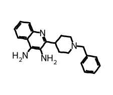 Nc1c(C2CCN(Cc3ccccc3)CC2)nc2ccccc2c1N